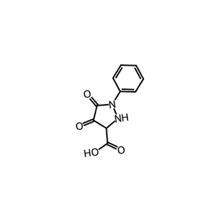 O=C(O)C1NN(c2ccccc2)C(=O)C1=O